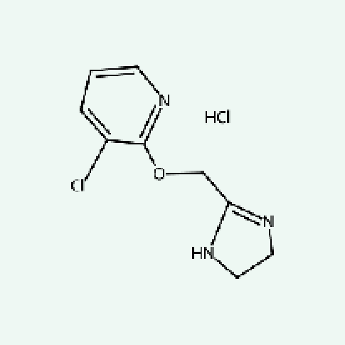 Cl.Clc1cccnc1OCC1=NCCN1